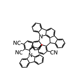 N#Cc1ccc(-c2ccc(C#N)c(C#N)c2-n2c3ccccc3c3ccccc32)cc1C1c2ccccc2-c2ccc3c4ccccc4n(-c4ccccc4)c3c21